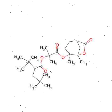 CC(C)(C)CC(C(=O)OC(C)(C)C(=O)O[C@@]1(C)CCC2CC1(C)OC2=O)C(C)(C)C